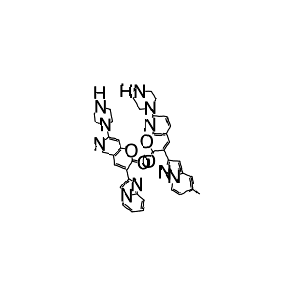 Cc1ccn2nc(-c3cc4ccc(N5CCNCC5)nc4oc3=O)cc2c1.O=c1oc2cc(N3CCNCC3)ncc2cc1-c1cn2ccccc2n1